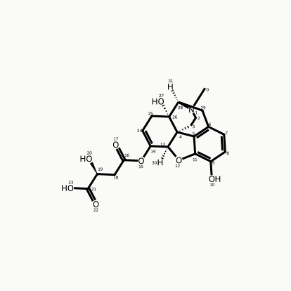 CN1CC[C@]23c4c5ccc(O)c4O[C@H]2C(OC(=O)C[C@H](O)C(=O)O)=CC[C@@]3(O)[C@H]1C5